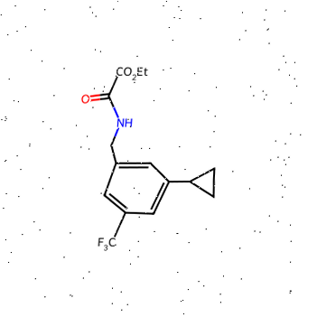 CCOC(=O)C(=O)NCc1cc(C2CC2)cc(C(F)(F)F)c1